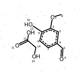 COc1cc(C=O)ccc1O.O=C(O)CO